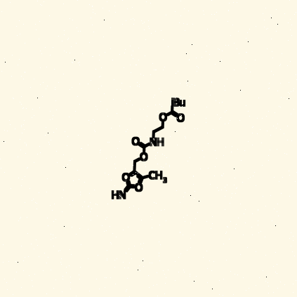 CCC(C)C(=O)OCCNC(=O)OCc1oc(=N)oc1C